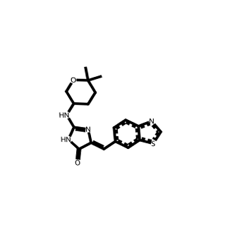 CC1(C)CCC(NC2=N/C(=C\c3ccc4ncsc4c3)C(=O)N2)CO1